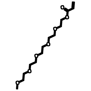 C=CC(=O)OCCOCCOCCOCCOCCOC